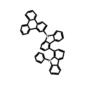 c1ccc(-n2c3ccccc3c3cccc(-c4cccc5c4c4ccccc4n5-c4ccc5c6ccccc6c6ccccc6c5c4)c32)cc1